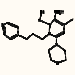 CCSC1C(C(=O)O)=C(C)C=C(N2CCOCC2)N1CCCc1ccncc1